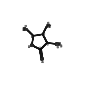 CC(C)C1OC(=O)C(C)C1C(C)C